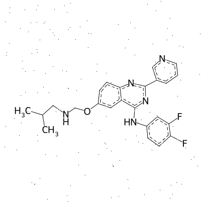 CC(C)CNCOc1ccc2nc(-c3cccnc3)nc(Nc3ccc(F)c(F)c3)c2c1